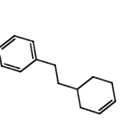 C1=CCC(CCc2ccccc2)CC1